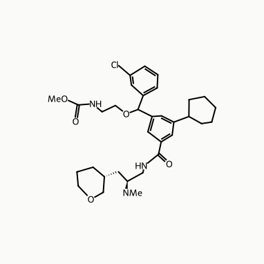 CN[C@H](CNC(=O)c1cc(C2CCCCC2)cc(C(OCCNC(=O)OC)c2cccc(Cl)c2)c1)C[C@H]1CCCOC1